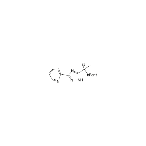 CCCCCC(C)(CC)c1nc(-c2ccccn2)n[nH]1